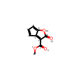 COC(=O)C1=C2C=CC=C2OC1=O